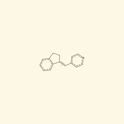 C(=C1/CCc2ccccc21)/c1ccncc1